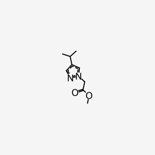 COC(=O)Cn1cc(C(C)C)cn1